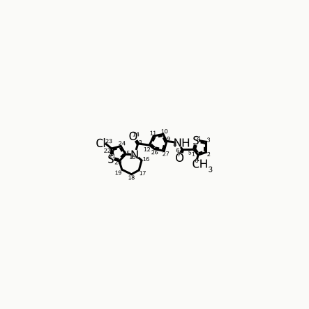 Cc1ccsc1C(=O)Nc1ccc(C(=O)N2CCCCc3sc(Cl)cc32)cc1